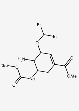 CCC(CC)OC1C=C(C(=O)OC)CC(NC(=O)OC(C)(C)C)C1N